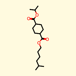 CC(C)CCCCOC(=O)C1CCC(C(=O)OC(C)C)CC1